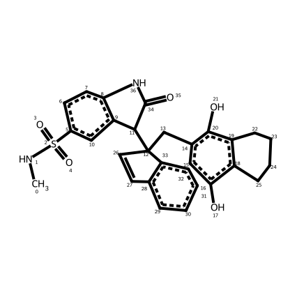 CNS(=O)(=O)c1ccc2c(c1)C(C1(Cc3cc(O)c4c(c3O)CCCC4)C=Cc3ccccc31)C(=O)N2